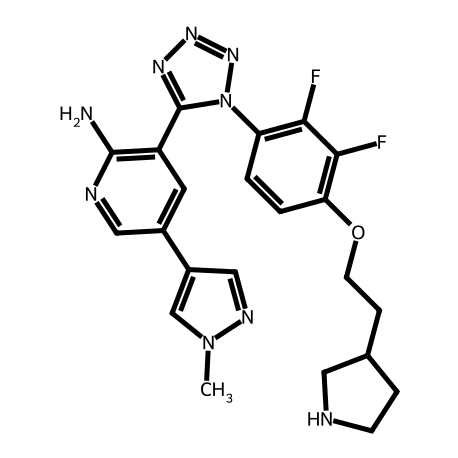 Cn1cc(-c2cnc(N)c(-c3nnnn3-c3ccc(OCCC4CCNC4)c(F)c3F)c2)cn1